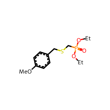 CCOP(=O)(CSCc1ccc(OC)cc1)OCC